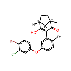 CCc1ccc(Oc2ccc(Br)c(Cl)c2)cc1C1=C(O)[C@@H]2CC[C@](C)(C1=O)C2(C)C